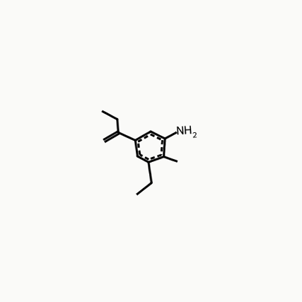 C=C(CC)c1cc(N)c(C)c(CC)c1